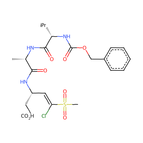 CC(C)[C@H](NC(=O)OCc1ccccc1)C(=O)N[C@@H](C)C(=O)N[C@H](/C=C(\Cl)S(C)(=O)=O)CC(=O)O